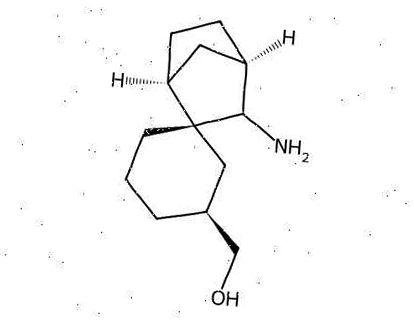 NC1[C@@H]2CC[C@@H](C2)[C@]12CCC[C@H](CO)C2